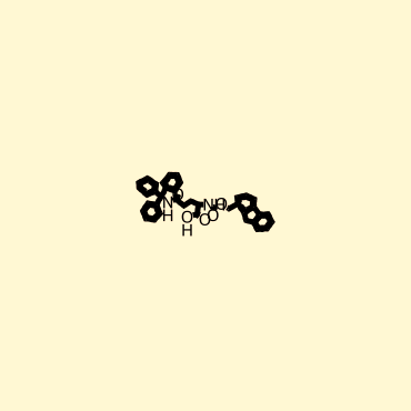 O=C(CCC(NC(=O)OCc1cccc2c1Cc1ccccc1-2)C(=O)O)NC(c1ccccc1)(c1ccccc1)c1ccccc1